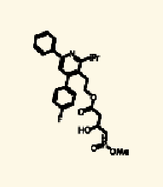 CO[PH](=O)CC(O)CC(=O)OCCc1c(-c2ccc(F)cc2)cc(-c2ccccc2)nc1C(C)C